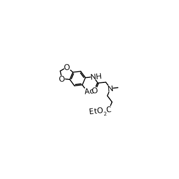 CCOC(=O)CCN(C)CC(=O)Nc1cc2c(cc1C(C)=O)OCO2